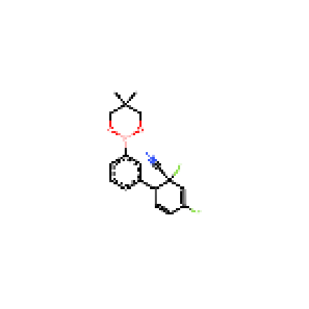 CC1(C)COB(c2cccc(C3C=CC(F)=CC3(F)C#N)c2)OC1